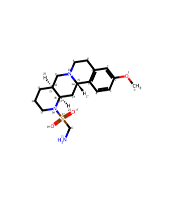 COc1ccc2c(c1)CCN1C[C@@H]3CCCN(S(=O)(=O)CN)[C@@H]3C[C@@H]21